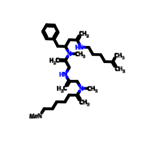 C=C(C)CCCCNC(=C)CC(Cc1ccccc1)N(C)C(=C)CNC(=C)CN(C)C(=C)CCCCCNC